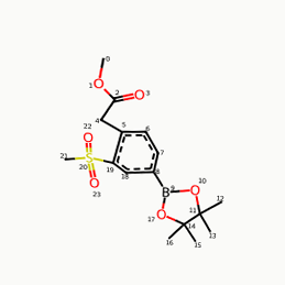 COC(=O)Cc1ccc(B2OC(C)(C)C(C)(C)O2)cc1S(C)(=O)=O